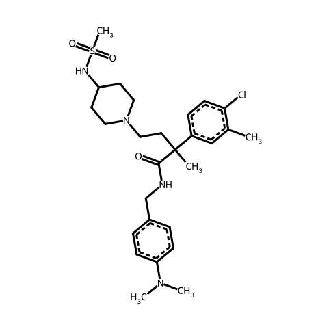 Cc1cc(C(C)(CCN2CCC(NS(C)(=O)=O)CC2)C(=O)NCc2ccc(N(C)C)cc2)ccc1Cl